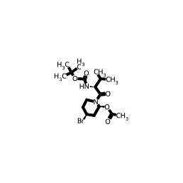 CC(=O)O[C@H]1C[C@@H](Br)CCN1C(=O)[C@H](NC(=O)OC(C)(C)C)C(C)C